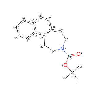 CC(C)(C)OC(=O)N1CC=c2ccc3ccccc3c2=CC1